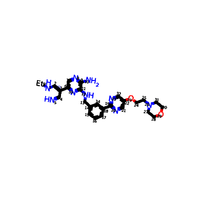 CCN/C=C(\C=N)c1cnc(N)c(NCc2cccc(-c3ncc(OCCN4CCOCC4)cn3)c2)n1